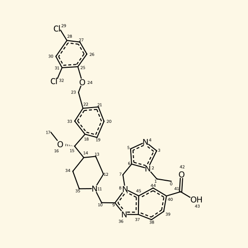 CCn1cncc1Cn1c(CN2CCC([C@H](OC)c3cccc(COc4ccc(Cl)cc4Cl)c3)CC2)nc2ccc(C(=O)O)cc21